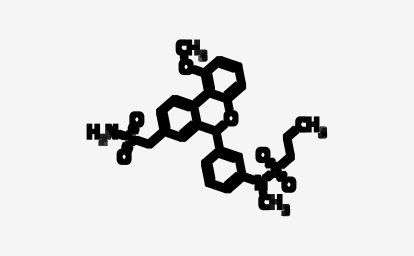 CCCS(=O)(=O)N(C)c1cccc(C2Oc3cccc(OC)c3-c3ccc(CS(N)(=O)=O)cc32)c1